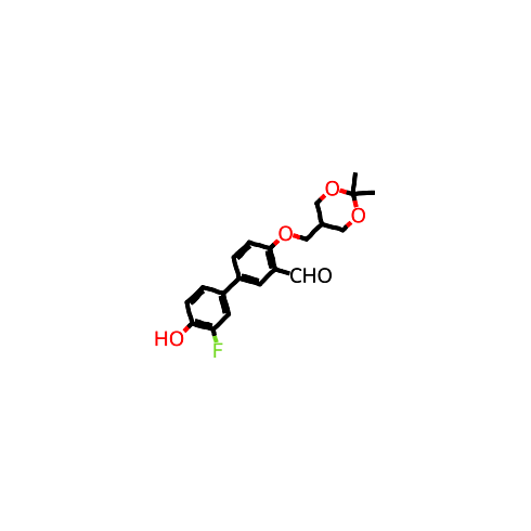 CC1(C)OCC(COc2ccc(-c3ccc(O)c(F)c3)cc2C=O)CO1